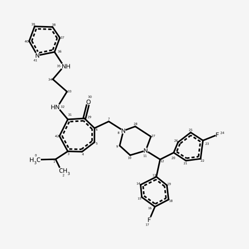 CC(C)c1ccc(CN2CCN(C(c3ccc(F)cc3)c3ccc(F)cc3)CC2)c(=O)c(NCCNc2ccccn2)c1